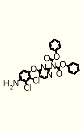 Nc1ccc(Oc2ccnc(N(C(=O)Oc3ccccc3)C(=O)Oc3ccccc3)n2)c(Cl)c1Cl